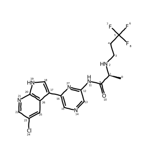 C[C@H](NCCC(F)(F)F)C(=O)Nc1cncc(-c2c[nH]c3ncc(Cl)cc23)n1